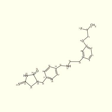 CC(F)COc1cccc(CCNCc2ccc(CN3CC(=S)NC3=O)nc2)c1